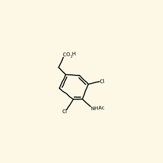 CC(=O)Nc1c(Cl)cc(CC(=O)O)cc1Cl